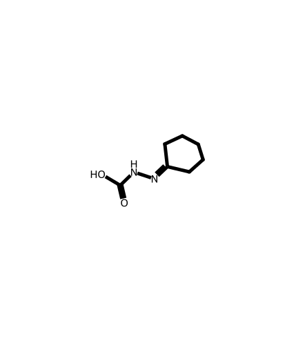 O=C(O)NN=C1CCCCC1